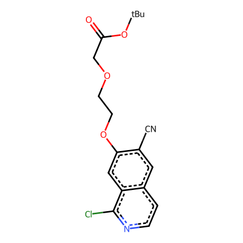 CC(C)(C)OC(=O)COCCOc1cc2c(Cl)nccc2cc1C#N